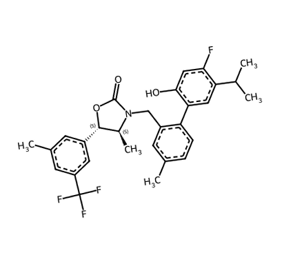 Cc1cc([C@@H]2OC(=O)N(Cc3cc(C)ccc3-c3cc(C(C)C)c(F)cc3O)[C@H]2C)cc(C(F)(F)F)c1